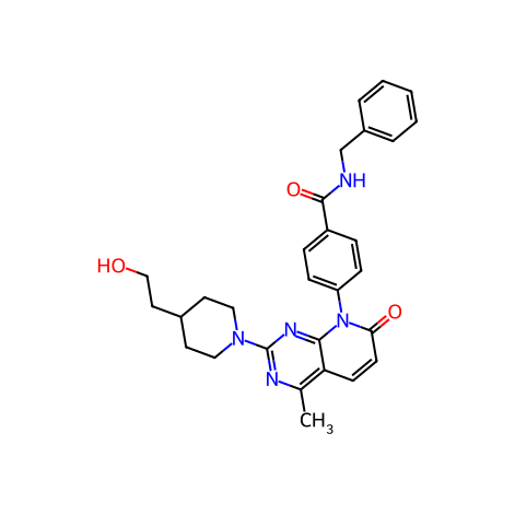 Cc1nc(N2CCC(CCO)CC2)nc2c1ccc(=O)n2-c1ccc(C(=O)NCc2ccccc2)cc1